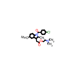 COc1ccc2c(c1)c(CC(=O)OCCN(C)C)c(C)n2C(=O)c1ccc(Cl)cc1